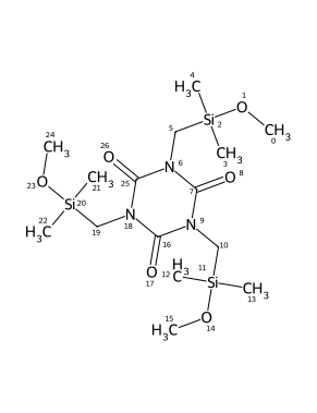 CO[Si](C)(C)Cn1c(=O)n(C[Si](C)(C)OC)c(=O)n(C[Si](C)(C)OC)c1=O